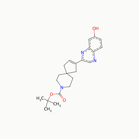 CC(C)(C)OC(=O)N1CCC2(CC=C(c3cnc4ccc(O)cc4n3)C2)CC1